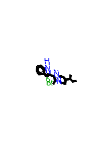 C=C(CC)c1ccn2c(C)c(-c3[nH]c4ccccc4c3Br)nc2c1